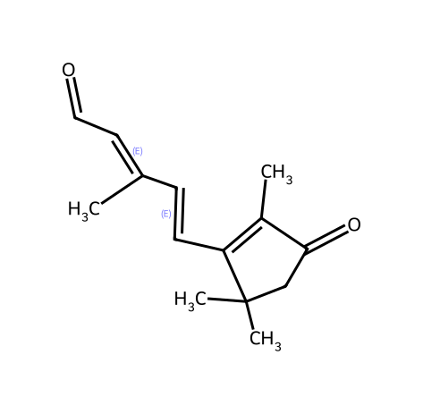 CC1=C(/C=C/C(C)=C/C=O)C(C)(C)CC1=O